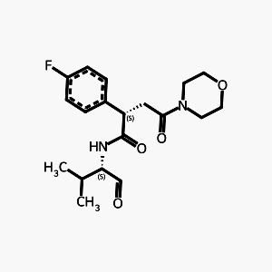 CC(C)[C@@H](C=O)NC(=O)[C@@H](CC(=O)N1CCOCC1)c1ccc(F)cc1